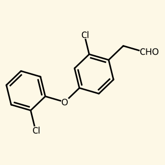 O=CCc1ccc(Oc2ccccc2Cl)cc1Cl